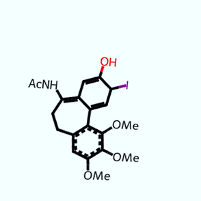 COc1cc2c(c(OC)c1OC)C1=CC(I)C(O)=CC1=C(NC(C)=O)CC2